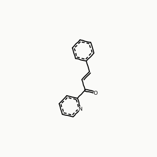 O=C(C=Cc1ccccc1)c1ccccn1